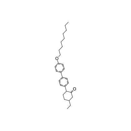 CCCCCCCCCOc1ccc(-c2ccc(C3CCC(CC)CC3=O)cc2)cc1